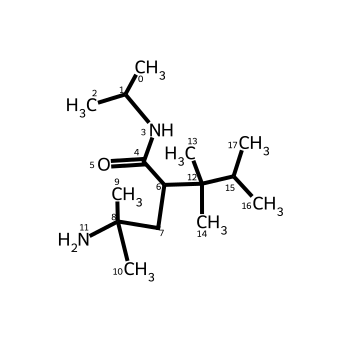 CC(C)NC(=O)C(CC(C)(C)N)C(C)(C)C(C)C